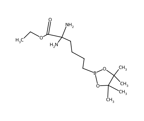 CCOC(=O)C(N)(N)CCCCB1OC(C)(C)C(C)(C)O1